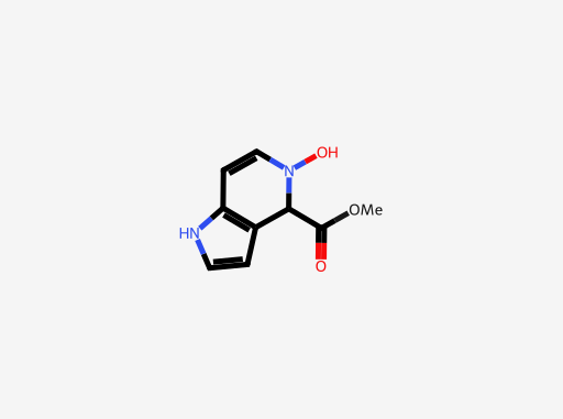 COC(=O)C1c2cc[nH]c2C=CN1O